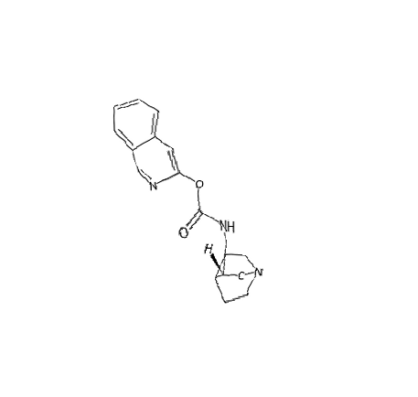 O=C(N[C@@H]1CN2CCC1CC2)Oc1cc2ccccc2cn1